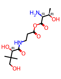 C[C@@H](O)[C@H](N)C(=O)OC(=O)CCNC(=O)[C@H](O)C(C)(C)CO